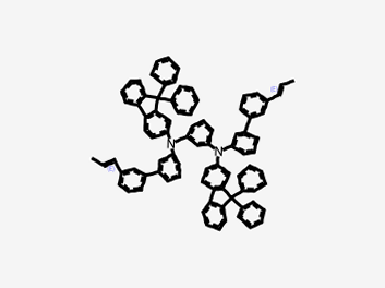 C/C=C/c1cccc(-c2cccc(N(c3cccc(N(c4cccc(-c5cccc(/C=C/C)c5)c4)c4ccc5c(c4)C(c4ccccc4)(c4ccccc4)c4ccccc4-5)c3)c3ccc4c(c3)C(c3ccccc3)(c3ccccc3)c3ccccc3-4)c2)c1